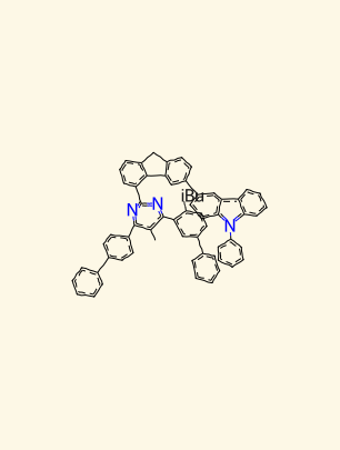 CCC(C)c1ccc(-c2ccccc2)cc1-c1nc(-c2cccc3c2-c2cc(-c4ccc5c(c4)c4ccccc4n5-c4ccccc4)ccc2C3)nc(-c2ccc(-c3ccccc3)cc2)c1C